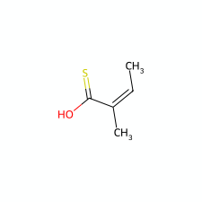 CC=C(C)C(O)=S